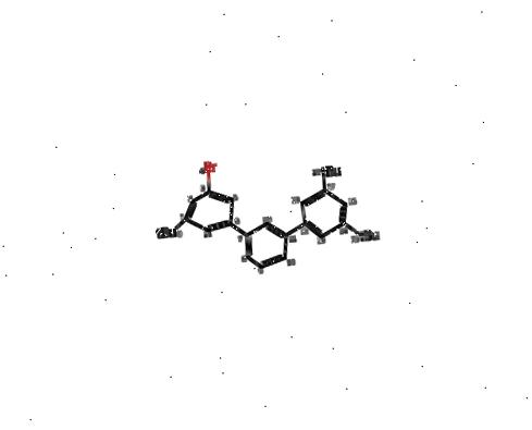 CC(C)(C)c1cc(Br)cc(-c2cccc(-c3cc(C(C)(C)C)cc(C(C)(C)C)c3)c2)c1